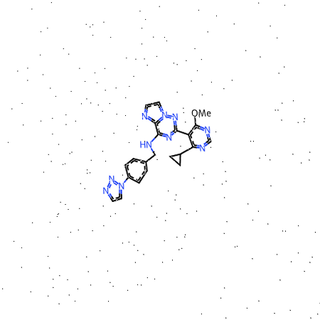 COc1ncnc(C2CC2)c1-c1nc(NCc2ccc(-n3ccnn3)cc2)c2nccn2n1